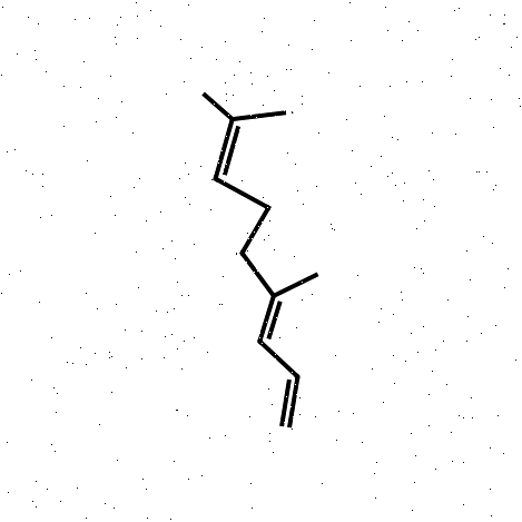 [CH2]/C(C)=C\CC/C(C)=C/C=C